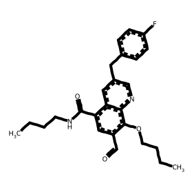 CCCCNC(=O)c1cc(C=O)c(OCCCC)c2ncc(Cc3ccc(F)cc3)cc12